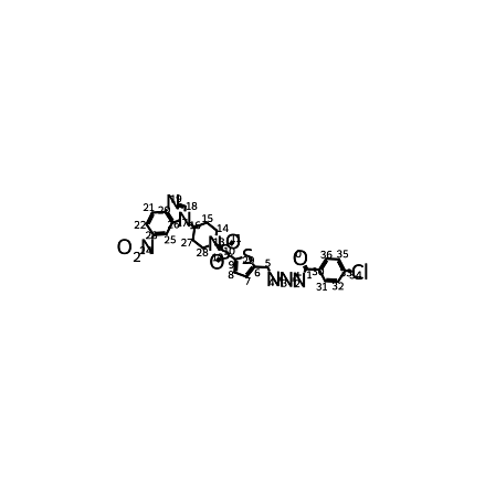 O=C(N=[N+]=NCc1ccc(S(=O)(=O)N2CCC(n3cnc4ccc([N+](=O)[O-])cc43)CC2)s1)c1ccc(Cl)cc1